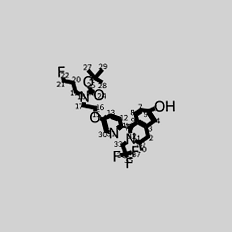 C[C@@H]1Cc2cc(O)ccc2[C@@H](c2ccc(OCCN(CCCF)C(=O)OC(C)(C)C)cn2)N1CC(F)(F)F